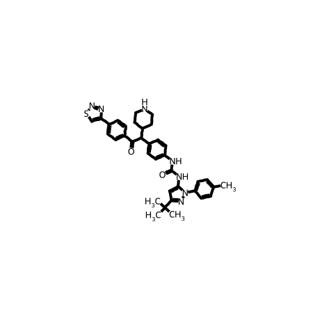 Cc1ccc(-n2nc(C(C)(C)C)cc2NC(=O)Nc2ccc(C(C(=O)c3ccc(-c4csnn4)cc3)C3CCNCC3)cc2)cc1